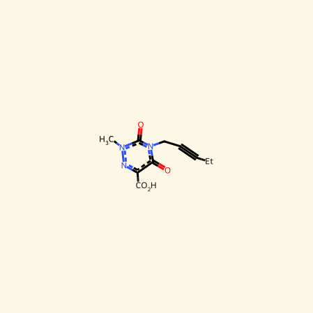 CCC#CCn1c(=O)c(C(=O)O)nn(C)c1=O